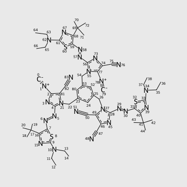 [C-]#[N+]c1nc(/N=N/c2sc(N(CC)CC)nc2C(C)(C)C)n(Cc2cc(Cn3c(/N=N/c4sc(N(CC)CC)nc4C(C)(C)C)nc(C#N)c3C#N)cc(Cn3c(/N=N/c4sc(N(CC)CC)nc4C(C)(C)C)nc(C#N)c3[N+]#[C-])c2)c1C#N